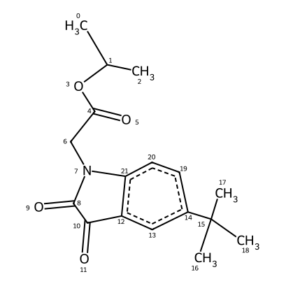 CC(C)OC(=O)CN1C(=O)C(=O)c2cc(C(C)(C)C)ccc21